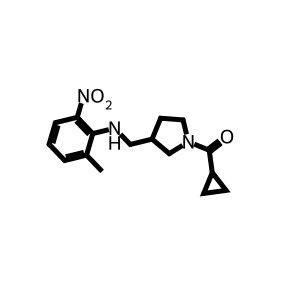 Cc1cccc([N+](=O)[O-])c1NCC1CCN(C(=O)C2CC2)C1